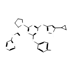 O=C(Nc1cnccn1)[C@@H]1CCCN1c1nc(Nc2ccc(F)cc2)nc(Nc2cc(C3CC3)[nH]n2)n1